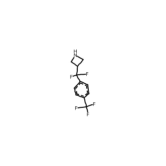 FC(F)(F)c1ccc(C(F)(F)C2CNC2)cc1